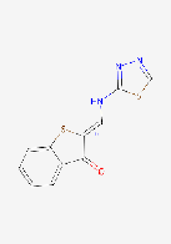 O=C1/C(=C/Nc2nncs2)Sc2ccccc21